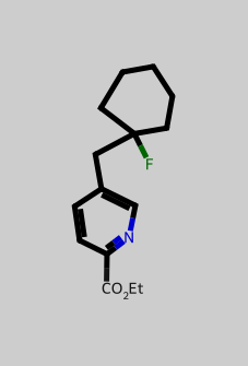 CCOC(=O)c1ccc(CC2(F)CCCCC2)cn1